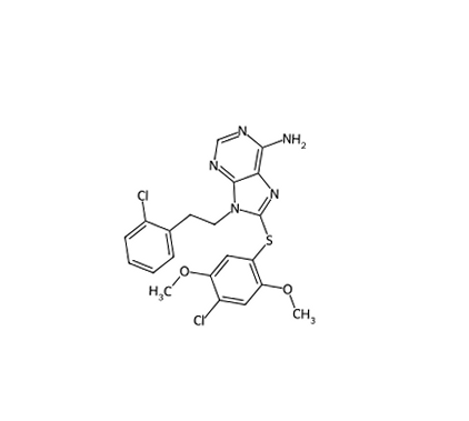 COc1cc(Sc2nc3c(N)ncnc3n2CCc2ccccc2Cl)c(OC)cc1Cl